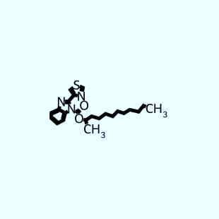 CCCCCCCCCCC(C)OC(=O)n1c(-c2cscn2)nc2ccccc21